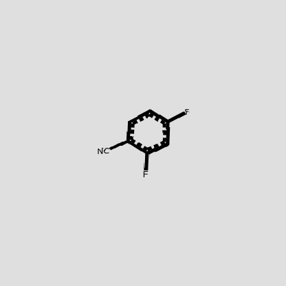 N#Cc1c[c]c(F)cc1F